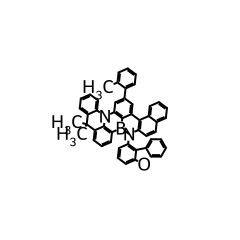 Cc1ccccc1-c1cc2c3c(c1)N1c4ccccc4C(C)(C)c4cccc(c41)B3N(c1cccc3oc4ccccc4c13)c1ccc3ccccc3c1-2